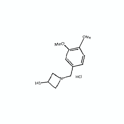 COc1ccc(CN2CC(S)C2)cc1OC.Cl